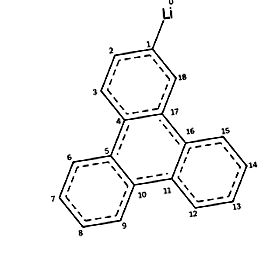 [Li][c]1ccc2c3ccccc3c3ccccc3c2c1